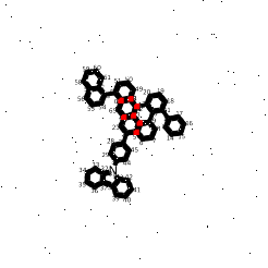 c1ccc(-c2ccccc2-c2c(-c3ccccc3)cccc2N(c2ccc(-c3ccc(-n4c5ccccc5c5ccccc54)cc3)cc2)c2cccc(-c3cccc4ccccc34)c2)cc1